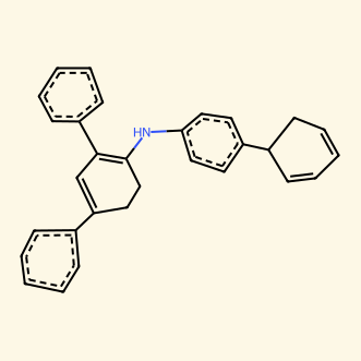 C1=CCC(c2ccc(NC3=C(c4ccccc4)C=C(c4ccccc4)CC3)cc2)C=C1